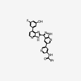 CC(C)C(=O)Nc1cncc(-c2cnc3[nH]nc(-c4nc5c(-c6cc(O)cc(F)c6)ccnc5[nH]4)c3c2)c1